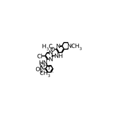 COc1nc2c(cc1Nc1ncc(Cl)c(Nc3cc[c]cc3P(C)(C)=O)n1)CN(C)CC2